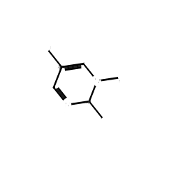 [CH2]C1N=CC(C)=CN1C